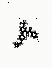 O=C(Nc1cc(C(F)(F)F)ccc1N1CCN(Cc2ccco2)CC1)c1ccncc1